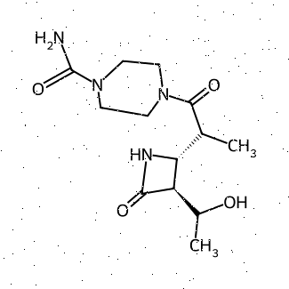 CC(C(=O)N1CCN(C(N)=O)CC1)[C@H]1NC(=O)[C@@H]1C(C)O